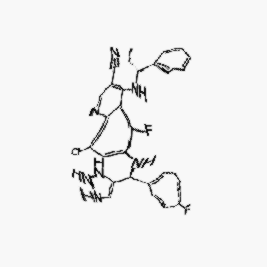 CC[C@@H](Nc1c(C#N)cnc2c(Cl)cc(N[C@H](C3=CNNN3)c3ccc(F)cc3)c(F)c12)c1ccccc1